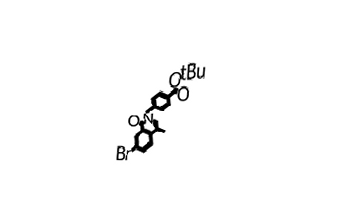 Cc1cn(Cc2ccc(C(=O)OC(C)(C)C)cc2)c(=O)c2cc(Br)ccc12